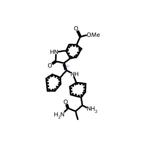 COC(=O)c1ccc2c(c1)NC(=O)/C2=C(/Nc1ccc(C(N)C(C)C(N)=O)cc1)c1ccccc1